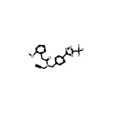 C#CCN(Cc1ccc(-c2noc(C(F)(F)F)n2)cc1)C(=O)Cc1ccccc1OC